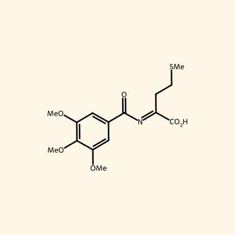 COc1cc(C(=O)/N=C(\CCSC)C(=O)O)cc(OC)c1OC